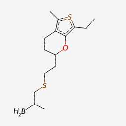 BC(C)CSCCC1CCc2c(C)sc(CC)c2O1